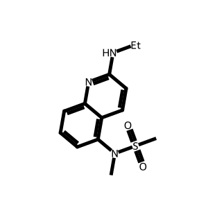 CCNc1ccc2c(N(C)S(C)(=O)=O)cccc2n1